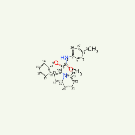 Cc1ccc(NC(=O)C(=O)c2c(-c3ccccc3)cc3cccc(C)n23)cc1